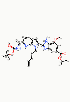 C=CCCCn1c(-c2nc3cc(C(=O)OC(C)C)cc(OC)c3n2C)cc2ccc([C@@H](C)NC(=O)OC(C)(C)C)nc21